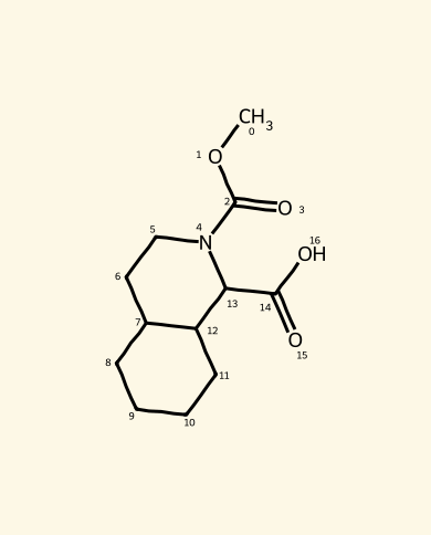 COC(=O)N1CCC2CCCCC2C1C(=O)O